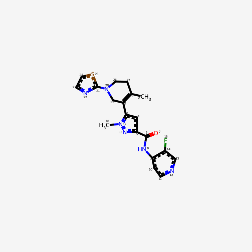 CC1=C(c2cc(C(=O)Nc3ccncc3F)nn2C)CN(c2nccs2)CC1